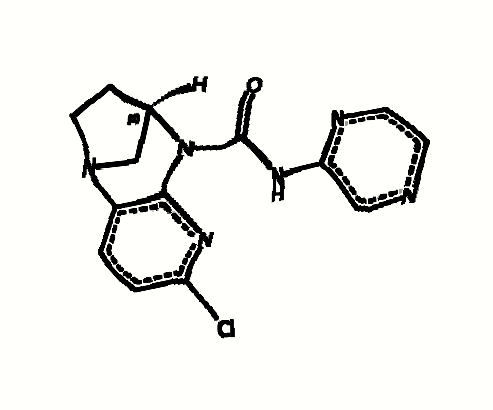 O=C(Nc1cnccn1)N1c2nc(Cl)ccc2N2CC[C@@H]1C2